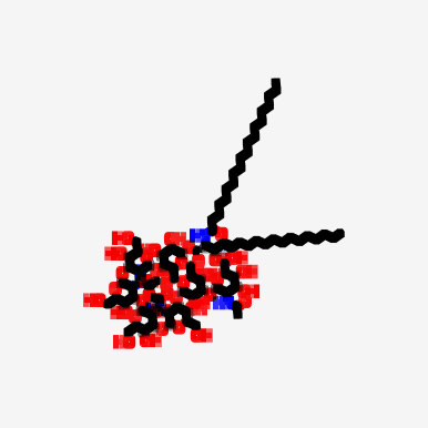 CCCCCCCCCCCCC/C=C/[C@@H](O)[C@H](CO[C@@H]1OC(CO)[C@@H](O[C@@H]2OC(CO)[C@H](O)[C@H](O[C@@H]3OC(CO)[C@@H](O)[C@H](O[C@@H]4OC(CO)[C@H](O)[C@H](O[C@@H]5OC(CO)[C@@H](O)[C@H](O[C@@H]6OC(CO)[C@H](O)[C@H](O[C@H]7OC(CO)[C@H](O)[C@H](O)C7NC(C)=O)C6O)C5NC(C)=O)C4O)C3NC(C)=O)C2O)[C@H](O)C1O)NC(=O)CCCCCCCCCCCCCCCCCCC